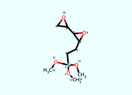 CO[Si](CCC1OC1C1CO1)(OC)OC